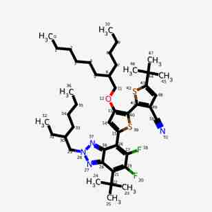 CCCCCCC(CCCC)COc1cc(-c2c(F)c(F)c(C(C)(C)C)c3nn(CC(CC)CCCC)nc23)sc1-c1sc(C(C)(C)C)cc1C#N